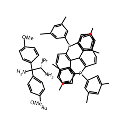 COc1ccc(C(N)(c2ccc(OC)cc2)[C@@H](N)C(C)C)cc1.Cc1cc(C)cc(P(c2cc(C)cc(C)c2)c2ccc3ccccc3c2-c2c(P(c3cc(C)cc(C)c3)c3cc(C)cc(C)c3)ccc3ccccc23)c1.[Ru]